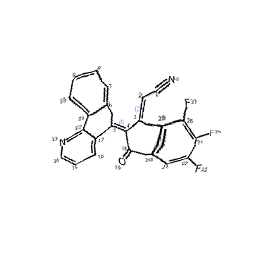 N#C/C=C1/C(=C2\c3ccccc3-c3ncccc32)C(=O)c2cc(F)c(F)c(F)c21